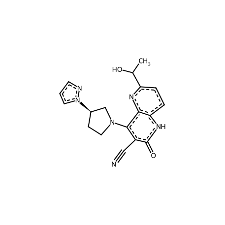 CC(O)c1ccc2[nH]c(=O)c(C#N)c(N3CC[C@@H](n4cccn4)C3)c2n1